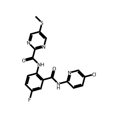 CSc1cnc(C(=O)Nc2ccc(F)cc2C(=O)Nc2ccc(Cl)cn2)nc1